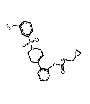 O=C(NCC1CC1)Oc1ncccc1C1=CCN(S(=O)(=O)c2cccc(C(F)(F)F)c2)CC1